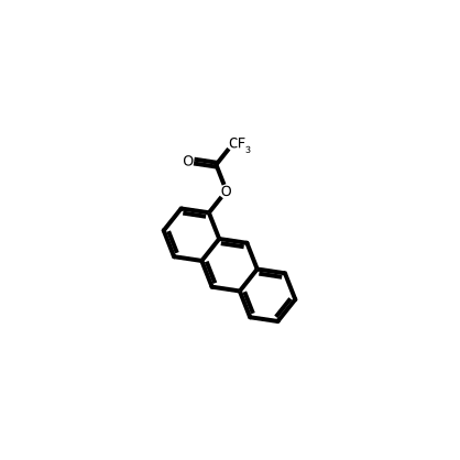 O=C(Oc1cccc2cc3ccccc3cc12)C(F)(F)F